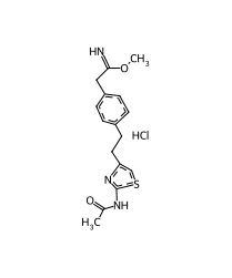 COC(=N)Cc1ccc(CCc2csc(NC(C)=O)n2)cc1.Cl